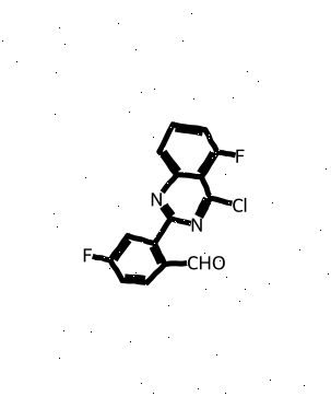 O=Cc1ccc(F)cc1-c1nc(Cl)c2c(F)cccc2n1